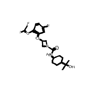 CC(C)(O)C1CCC(NC(=O)N2CC(Oc3cc(F)ccc3OC(F)F)C2)CC1